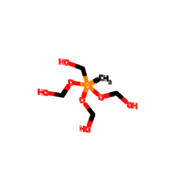 CP(CO)(OCO)(OCO)OCO